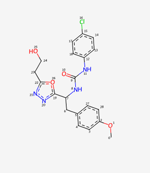 COc1ccc(CC(NC(=O)Nc2ccc(Cl)cc2)c2nnc(CCO)o2)cc1